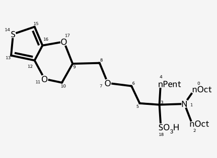 CCCCCCCCN(CCCCCCCC)C(CCCCC)(CCOCC1COc2cscc2O1)S(=O)(=O)O